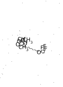 COC1=C(OC)C(=O)C(CCCCCCCCCCOc2cccc(C(F)(F)F)c2)=C(C)C1=O